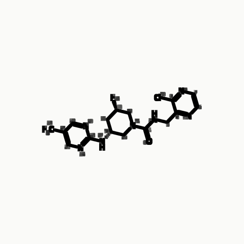 O=C(NCc1nccnc1Cl)N1C[C@H](F)C[C@@H](Nc2ncc(C(F)(F)F)cn2)C1